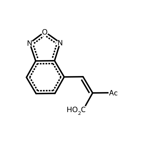 CC(=O)/C(=C/c1cccc2nonc12)C(=O)O